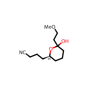 COCCC1(O)CCC[C@@H](CCCC#N)O1